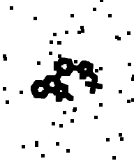 Cc1cc2c(-c3cc(-c4ccc(CC(C)(C)C)s4)ccn3)cc3ccccc3c2s1